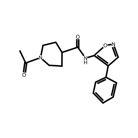 CC(=O)N1CCC(C(=O)Nc2oncc2-c2ccccc2)CC1